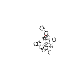 CCC(C)[C@@H](C(=O)N[C@@H](Cc1ccccc1)[C@@H](O)CN(Cc1ccc(-c2ccccn2)cc1)NC(=O)O)N1CCN(Cc2ccnc3ccccc23)C1=O